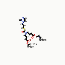 CCCCCC/C=C\COC(=O)CCCN(CCCC(=O)OC(CCCCCC)CCCCCC)C(=O)SCCCn1ccnc1C